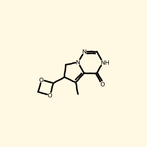 CC1=C2C(=O)NC=NN2CC1C1OCO1